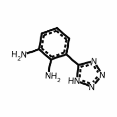 Nc1cccc(-c2nnn[nH]2)c1N